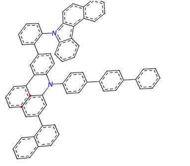 c1ccc(-c2ccc(-c3ccc(N(c4cccc(-c5cccc6ccccc56)c4)c4ccc(-c5ccccc5-n5c6ccccc6c6c7ccccc7ccc65)cc4-c4ccccc4)cc3)cc2)cc1